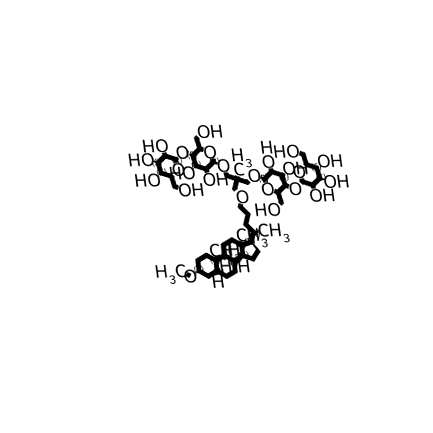 CO[C@@H]1CC[C@@]2(C)[C@H](CC[C@@H]3[C@@H]2CC[C@]2(C)[C@@H]([C@H](C)CCCOCC(C)(CO[C@@H]4OC(CO)C(OC5OC(CO)[C@@H](O)[C@H](O)C5O)[C@H](O)C4O)CO[C@@H]4OC(CO)[C@@H](O[C@H]5OC(CO)[C@@H](O)[C@H](O)C5O)[C@H](O)C4O)CC[C@@H]32)C1